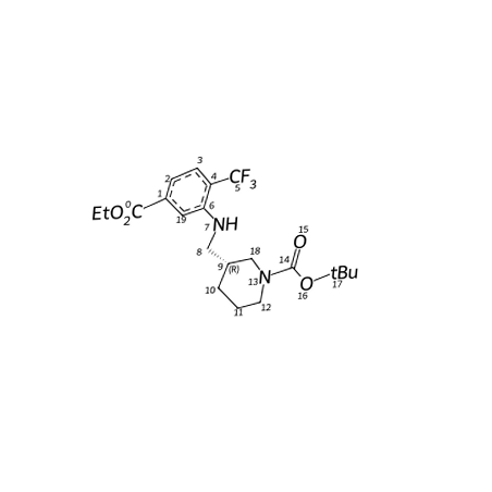 CCOC(=O)c1ccc(C(F)(F)F)c(NC[C@H]2CCCN(C(=O)OC(C)(C)C)C2)c1